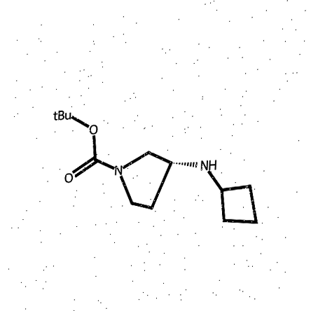 CC(C)(C)OC(=O)N1CC[C@@H](NC2CCC2)C1